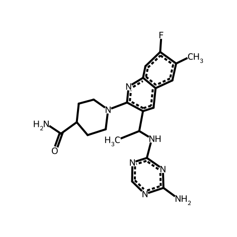 Cc1cc2cc(C(C)Nc3ncnc(N)n3)c(N3CCC(C(N)=O)CC3)nc2cc1F